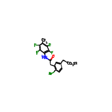 CCOC(=O)Cc1ccc(Br)c(CC(=O)Nc2c(F)c(F)c(C(F)(F)F)c(F)c2F)c1